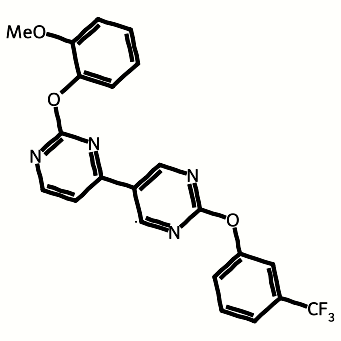 COc1ccccc1Oc1nccc(-c2[c]nc(Oc3cccc(C(F)(F)F)c3)nc2)n1